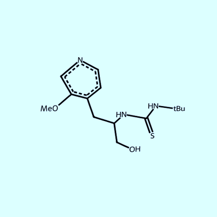 COc1cnccc1CC(CO)NC(=S)NC(C)(C)C